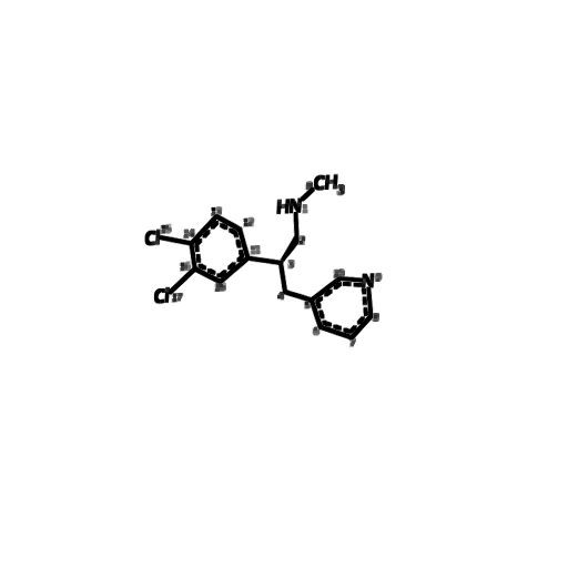 CNC[C@@H](Cc1cccnc1)c1ccc(Cl)c(Cl)c1